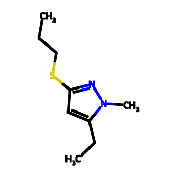 CCCSc1cc(CC)n(C)n1